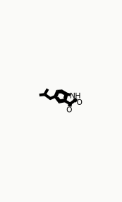 CC(C)Cc1ccc2c(c1)C(=O)C(=O)N2